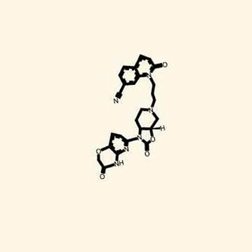 N#Cc1ccc2ccc(=O)n(CCCN3CCC4[C@H](C3)OC(=O)N4c3ccc4c(n3)NC(=O)CO4)c2c1